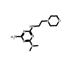 CN(C)c1nc(N)nc(NCCN2CCOCC2)n1